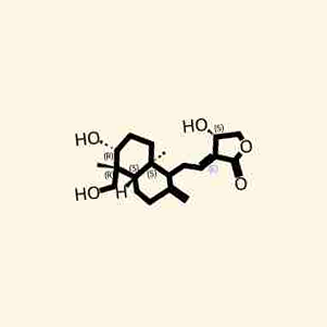 C=C1CC[C@@H]2[C@](C)(CO)[C@H](O)CC[C@@]2(C)C1C/C=C1/C(=O)OC[C@H]1O